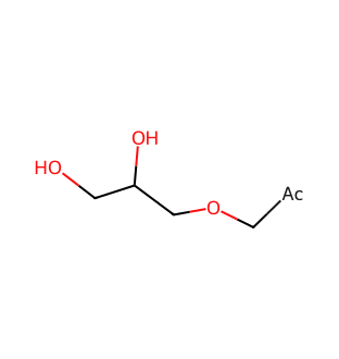 CC(=O)COCC(O)CO